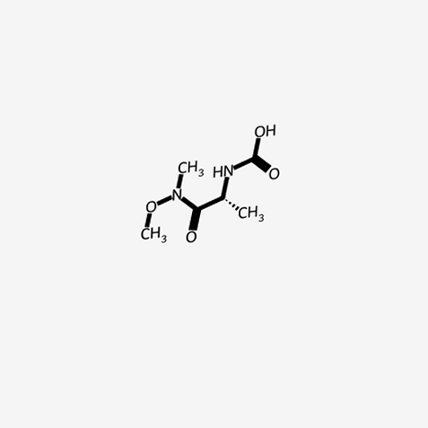 CON(C)C(=O)[C@@H](C)NC(=O)O